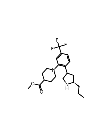 CCC[C@@H]1CC(c2ccc(C(F)(F)F)cc2N2CCC(C(=O)OC)CC2)CN1